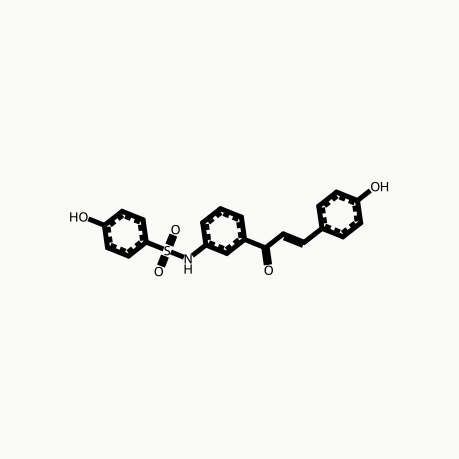 O=C(/C=C/c1ccc(O)cc1)c1cccc(NS(=O)(=O)c2ccc(O)cc2)c1